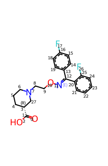 O=C(O)[C@@H]1CCCN(CCO/N=C(\c2ccc(F)cc2)c2ccccc2F)C1